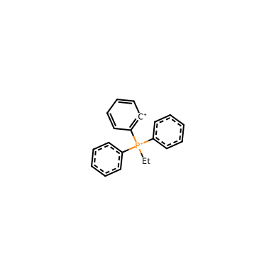 CC[P+](C1=[C+]C=CC=C1)(c1ccccc1)c1ccccc1